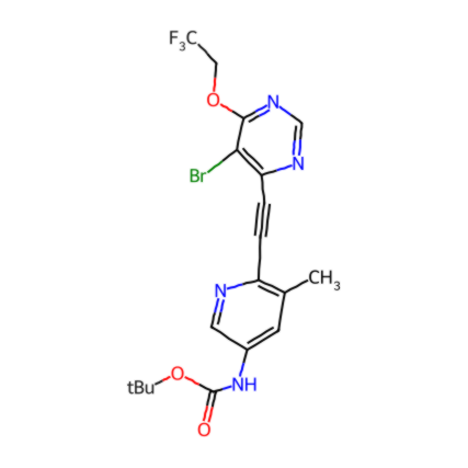 Cc1cc(NC(=O)OC(C)(C)C)cnc1C#Cc1ncnc(OCC(F)(F)F)c1Br